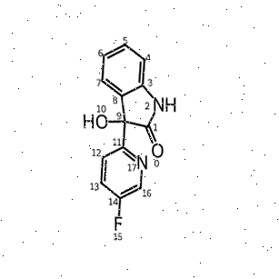 O=C1Nc2ccccc2C1(O)c1ccc(F)cn1